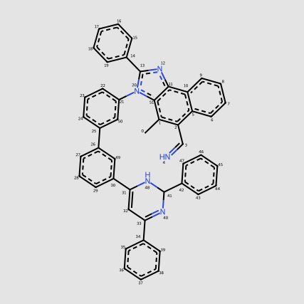 Cc1c(C=N)c2ccccc2c2nc(-c3ccccc3)n(-c3cccc(-c4cccc(C5=CC(c6ccccc6)=NC(c6ccccc6)N5)c4)c3)c12